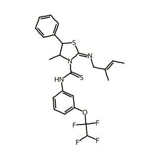 CC=C(C)CN=C1SC(c2ccccc2)C(C)N1C(=S)Nc1cccc(OC(F)(F)C(F)F)c1